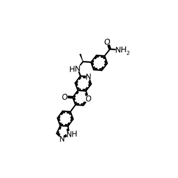 C[C@H](Nc1cc2c(=O)c(-c3ccc4cn[nH]c4c3)coc2cn1)c1cccc(C(N)=O)c1